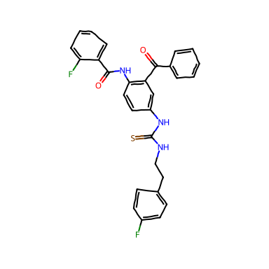 O=C(Nc1ccc(NC(=S)NCCc2ccc(F)cc2)cc1C(=O)c1ccccc1)c1ccccc1F